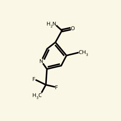 Cc1cc(C(C)(F)F)ncc1C(N)=O